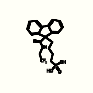 O=C(NCC(F)(F)F)C1(CCCCP(=O)(O)O)c2ccccc2-c2ccccc21